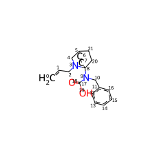 C=CCN1CC2CCC1(N(Cc1ccccc1)C(=O)O)CC2